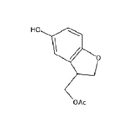 CC(=O)OCC1COc2ccc(O)cc21